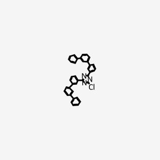 Clc1nc(-c2cccc(-c3cccc(-c4ccccc4)c3)c2)nc(-c2cccc(-c3cccc(-c4ccccc4)c3)c2)n1